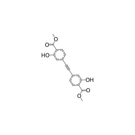 COC(=O)c1ccc(C#Cc2ccc(C(=O)OC)c(O)c2)cc1O